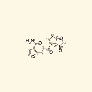 NC(=O)c1ccsc1C[CH]C(=O)N1CCC2OCC(=O)C21